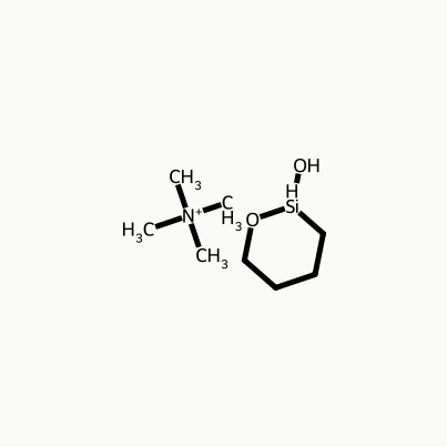 C[N+](C)(C)C.O[SiH]1CCCCO1